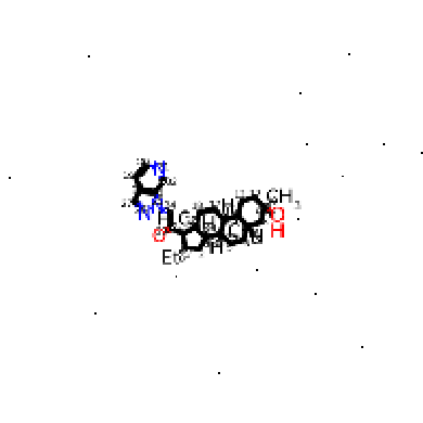 CC[C@@H]1C[C@H]2[C@@H]3CC[C@H]4C[C@](C)(O)CC[C@]4(C)[C@H]3CC[C@]2(C)C1C(=O)Cn1ncc2ccncc21